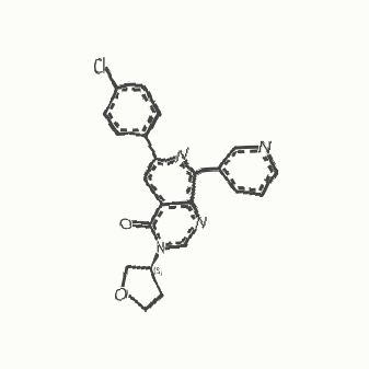 O=c1c2cc(-c3ccc(Cl)cc3)nc(-c3cccnc3)c2ncn1[C@H]1CCOC1